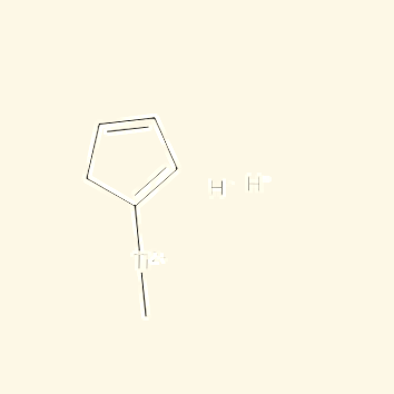 [CH3][Ti+2][C]1=CC=CC1.[H-].[H-]